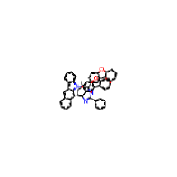 CC1C/C=C(c2cc3c(cc2-n2c4ccccc4c4cc5ccccc5cc42)oc2ccccc23)/N=C(c2ccccc2)\N=C/1c1ccc2oc3ccccc3c2c1